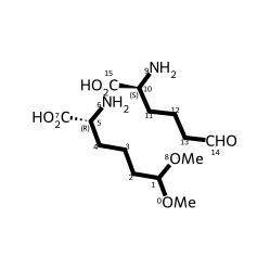 COC(CCC[C@@H](N)C(=O)O)OC.N[C@@H](CCCC=O)C(=O)O